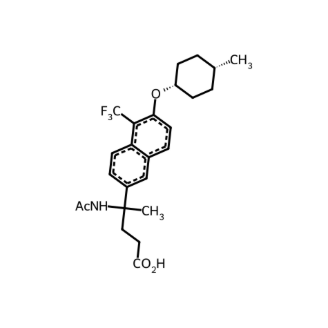 CC(=O)NC(C)(CCC(=O)O)c1ccc2c(C(F)(F)F)c(O[C@H]3CC[C@@H](C)CC3)ccc2c1